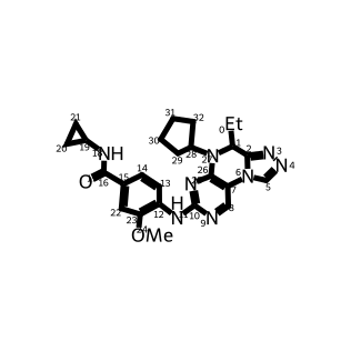 CCC1c2nncn2-c2cnc(Nc3ccc(C(=O)NC4CC4)cc3OC)nc2N1C1CCCC1